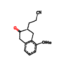 COc1cccc2c1CC(CCC#N)C(=O)C2